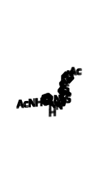 CC(=O)Nc1cccc(Nc2ncc3c(n2)-c2cc(CN4CCN(C(C)=O)CC4)sc2CS3)c1